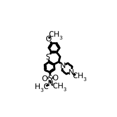 COc1ccc2c(c1)Sc1ccc(S(=O)(=O)N(C)C)cc1C(N1CCN(C)CC1)C2